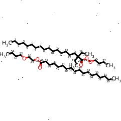 CCCCCCCCCCCCCCCCC(CC)(CC)C(=O)OOCCCC.CCCCCCCCCCCCCCCCCC(=O)OCCOCCCC